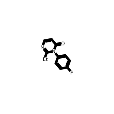 CCc1nccc(=O)n1-c1ccc(F)cc1